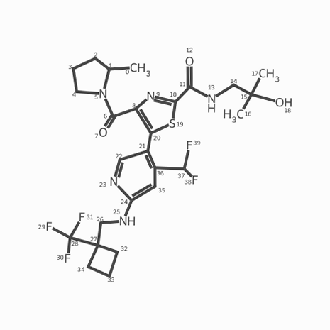 CC1CCCN1C(=O)c1nc(C(=O)NCC(C)(C)O)sc1-c1cnc(NCC2(C(F)(F)F)CCC2)cc1C(F)F